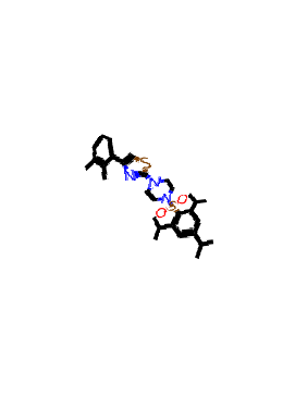 Cc1cccc(-c2csc(N3CCN(S(=O)(=O)c4c(C(C)C)cc(C(C)C)cc4C(C)C)CC3)n2)c1C